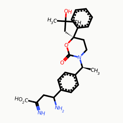 C[C@@H](c1ccc(C(N)CC(=N)C(=O)O)cc1)N1CC[C@](CC(C)(C)O)(c2ccccc2)OC1=O